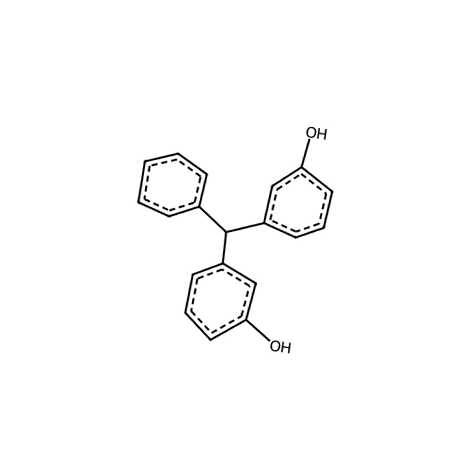 Oc1cccc(C(c2ccccc2)c2cccc(O)c2)c1